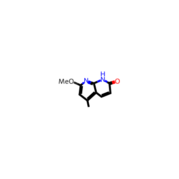 COc1cc(C)c2ccc(=O)[nH]c2n1